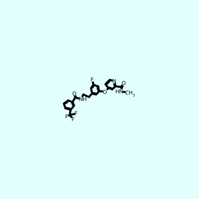 CNC(=O)c1cc(Oc2cc(F)cc(CCNC(=O)c3cccc(C(F)(F)F)c3)c2)ccn1